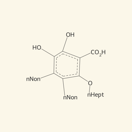 CCCCCCCCCc1c(O)c(O)c(C(=O)O)c(OCCCCCCC)c1CCCCCCCCC